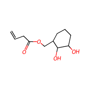 C=CCC(=O)OCC1CCCC(O)C1O